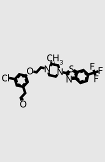 C[C@H]1CN(c2nc3ccc(C(F)(F)F)cc3s2)CCN1CCOc1cc(Cl)cc(CC=O)c1